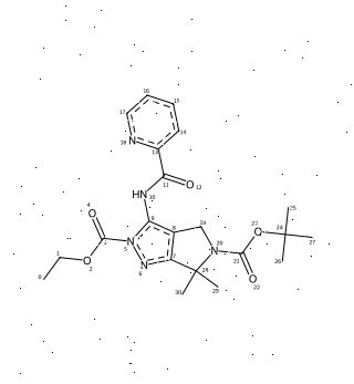 CCOC(=O)n1nc2c(c1NC(=O)c1ccccn1)CN(C(=O)OC(C)(C)C)C2(C)C